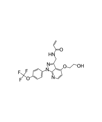 C=CC(=O)NCc1nn(-c2ccc(OC(F)(F)F)cc2)c2nccc(OCCO)c12